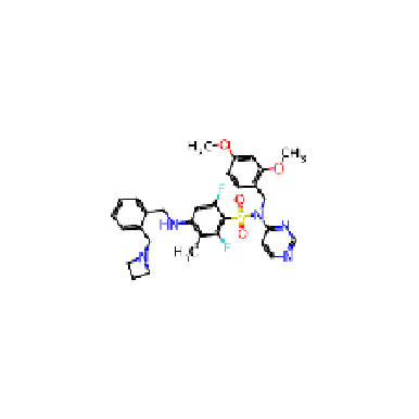 COc1ccc(CN(c2ccncn2)S(=O)(=O)c2c(F)cc(NCc3ccccc3CN3CCC3)c(C)c2F)c(OC)c1